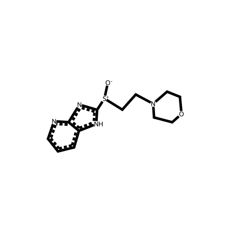 [O-][S+](CCN1CCOCC1)c1nc2ncccc2[nH]1